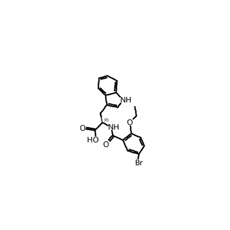 CCOc1ccc(Br)cc1C(=O)N[C@H](Cc1c[nH]c2ccccc12)C(=O)O